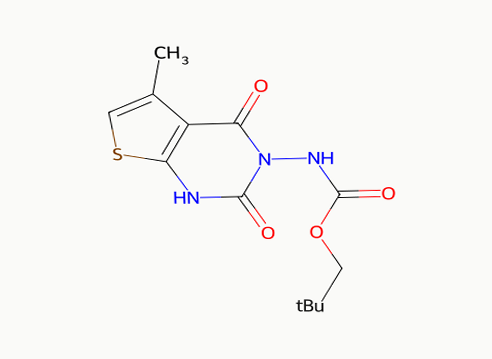 Cc1csc2[nH]c(=O)n(NC(=O)OCC(C)(C)C)c(=O)c12